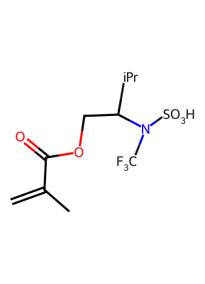 C=C(C)C(=O)OCC(C(C)C)N(C(F)(F)F)S(=O)(=O)O